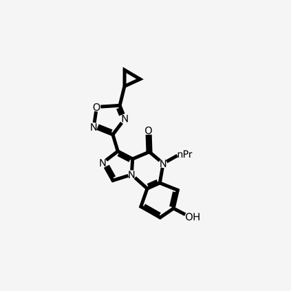 CCCn1c(=O)c2c(-c3noc(C4CC4)n3)ncn2c2ccc(O)cc21